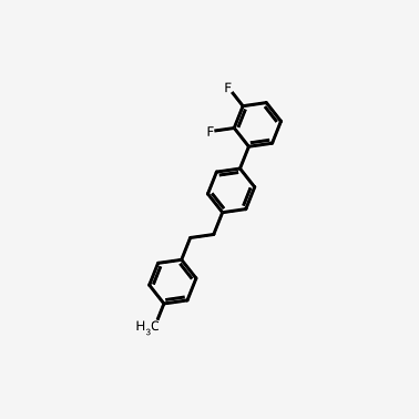 Cc1ccc(CCc2ccc(-c3cccc(F)c3F)cc2)cc1